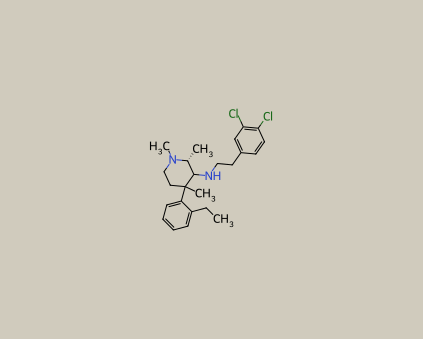 CCc1ccccc1C1(C)CCN(C)[C@H](C)C1NCCc1ccc(Cl)c(Cl)c1